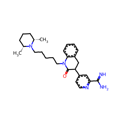 C[C@@H]1CCC[C@H](C)N1CCCCCN1C(=O)C(c2ccnc(C(=N)N)c2)Cc2ccccc21